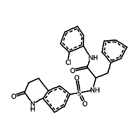 O=C1CCc2cc(S(=O)(=O)NC(Cc3ccccc3)C(=O)Nc3ccccc3Cl)ccc2N1